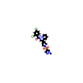 Cn1cc(S(=O)(=O)N2CC3C(C2)C3(CNC(=O)c2ccc(Cl)cc2Cl)c2ccccn2)cn1